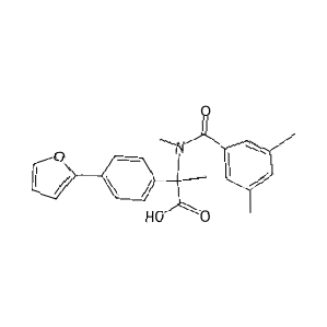 Cc1cc(C)cc(C(=O)N(C)C(C)(C(=O)O)c2ccc(-c3ccco3)cc2)c1